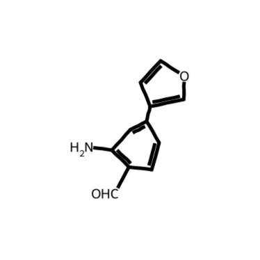 Nc1cc(-c2ccoc2)ccc1C=O